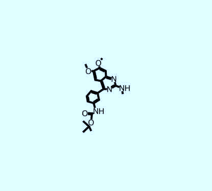 CNc1nc(-c2cccc(NC(=O)OC(C)(C)C)c2)c2cc(OC)c(OC)cc2n1